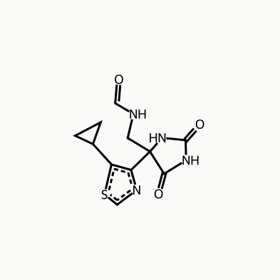 O=CNCC1(c2ncsc2C2CC2)NC(=O)NC1=O